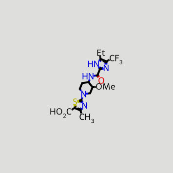 CCc1[nH]c(C(=O)NC2CCN(c3nc(C)c(C(=O)O)s3)CC2OC)nc1C(F)(F)F